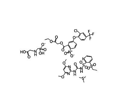 CCOC(=O)COC(=O)c1cc(Oc2ccc(C(F)(F)F)cc2Cl)ccc1[N+](=O)[O-].CCS(=O)(=O)c1cccnc1S(=O)(=O)NC(=O)Nc1nc(OC)cc(OC)n1.C[S+](C)C.O=C(O)CNCP(=O)([O-])O